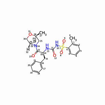 Cc1ccccc1S(=O)(=O)NC(=O)N[C@@H](Cc1ccccc1)C(=O)N1C[C@]2(C)C[C@H]1CO2